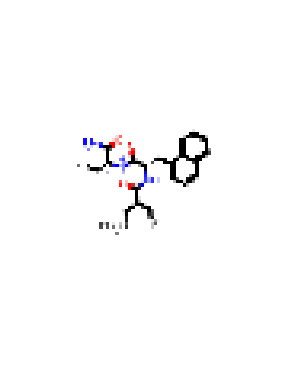 CCOC(=O)CC(CC(C)C)C(=O)N[C@@H](Cc1cccc2ccccc12)C(=O)N[C@@H](CC(C)C)C(N)=O